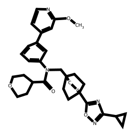 COc1cc(-c2cccc(N(CC34CCC(c5nc(C6CC6)no5)(CC3)CC4)C(=O)C3CCOCC3)c2)ccn1